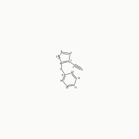 C#Cc1ccsc1Cc1ccccc1